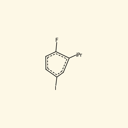 CC(C)c1cc(I)ccc1F